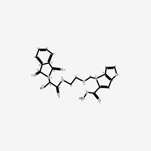 CCCCOC(=O)c1cc2occc2n1COCCOC(=O)C(C(C)C)N1C(=O)c2ccccc2C1=O